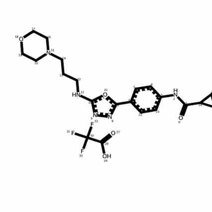 O=C(Nc1ccc(-c2nnc(NCCCN3CCOCC3)o2)cc1)C1CC1.O=C(O)C(F)(F)F